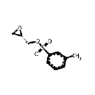 Cc1cccc(S(=O)(=O)OC[C@@H]2CO2)c1